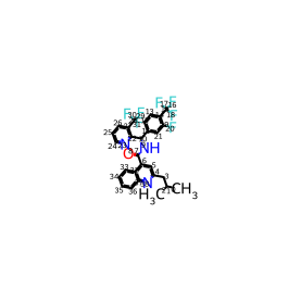 CC(C)Cc1cc(C(=O)N[C@@H](c2ccc(C(F)(F)F)c(F)c2)c2ncccc2C(F)(F)F)c2ccccc2n1